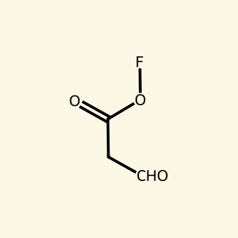 O=CCC(=O)OF